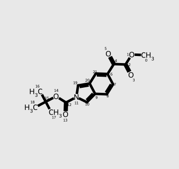 COC(=O)C(=O)c1ccc2cn(C(=O)OC(C)(C)C)cc2c1